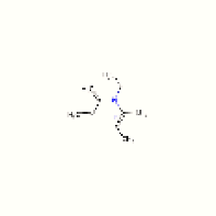 C=CC(=C)N(CC)/C(C)=C/C